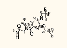 CNC(=O)CN(C(=O)c1ccc(N2CC(F)(F)C2)c(OCC2CC2)n1)C(C)(C)C